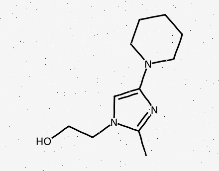 Cc1nc(N2CCCCC2)cn1CCO